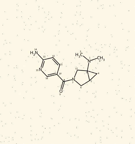 CN(C)C12CC1CN(C(=O)c1ccc(N)nc1)C2